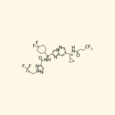 O=C(CCC(F)(F)F)N[C@@H](c1cnn2cc([C@@H](NC(=O)c3cnn(CC4CC4(F)F)n3)C3CCC(F)(F)CC3)nc2c1)C1CC1